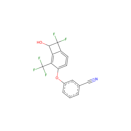 N#Cc1cccc(OC2=C=C=C3C(=C2C(F)(F)F)C(O)C3(F)F)c1